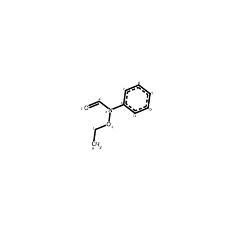 CCON(C=O)c1ccccc1